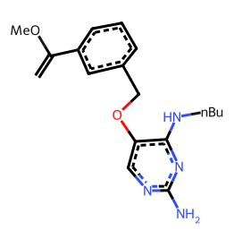 C=C(OC)c1cccc(COc2cnc(N)nc2NCCCC)c1